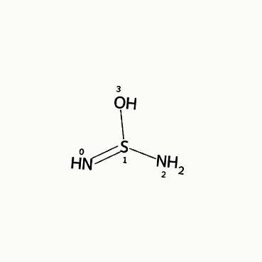 N=S(N)O